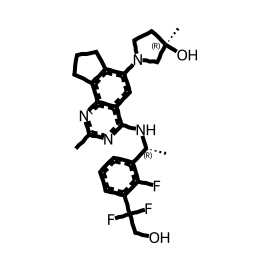 Cc1nc(N[C@H](C)c2cccc(C(F)(F)CO)c2F)c2cc(N3CC[C@@](C)(O)C3)c3c(c2n1)CCC3